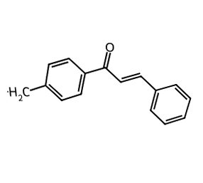 [CH2]c1ccc(C(=O)C=Cc2ccccc2)cc1